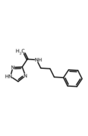 C=C(NCCCc1ccccc1)c1nc[nH]n1